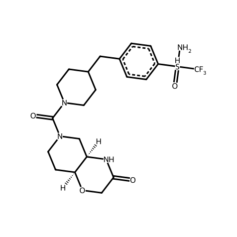 N[SH](=O)(c1ccc(CC2CCN(C(=O)N3CC[C@@H]4OCC(=O)N[C@@H]4C3)CC2)cc1)C(F)(F)F